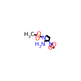 CC1OC(n2ccc(N3OCO3)c2N)O1